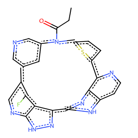 CCC(=O)n1c2cncc(c2)c2cnc3[nH]nc(c4nc5c(ccnc5c5ccc1s5)[nH]4)c3c2F